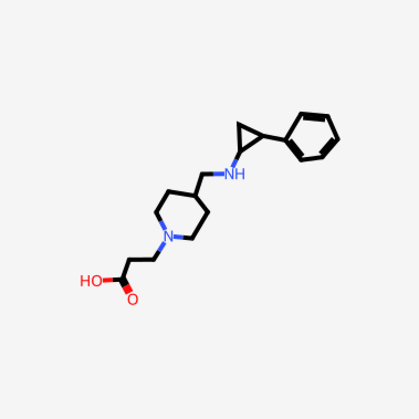 O=C(O)CCN1CCC(CNC2CC2c2ccccc2)CC1